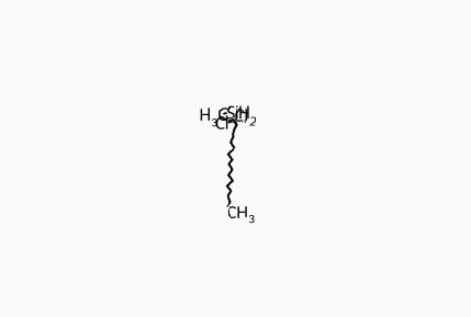 CCCCCCCCCCCCCCCCCC(Cl)(Cl)[SiH2]C